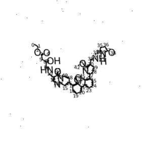 CCOC(=O)C[C@H](O)CNCc1cnc2cc(-c3cccc(-c4cccc(-c5ccc(CNC[C@@H]6CCC(=O)N6)c(OC)n5)c4Cl)c3Cl)ccn2c1=O